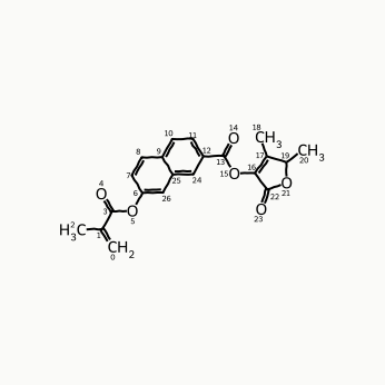 C=C(C)C(=O)Oc1ccc2ccc(C(=O)OC3=C(C)C(C)OC3=O)cc2c1